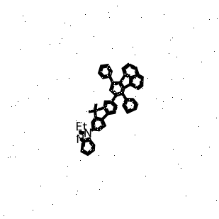 CCc1nc2ccccc2n1-c1ccc2c(c1)C(C)(C)c1cc(-c3cc(-c4ccccc4)c4c(c3-c3ccccc3)-c3cccc5cccc-4c35)ccc1-2